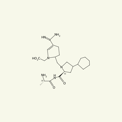 C[C@H](N)C(=O)NC(=O)[C@@H]1CC(C2CCCCC2)CN1CC1CCC(C(=N)N)=CN1CC(=O)O